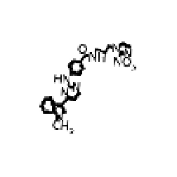 Cn1cc(-c2ccnc(Nc3ccc(C(=O)NCCCn4ccnc4[N+](=O)[O-])cc3)n2)c2ccccc21